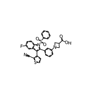 N#Cc1sccc1-c1c(-c2cccc(N3CC(C(=O)O)C3)c2)n(S(=O)(=O)c2ccccc2)c2ccc(F)cc12